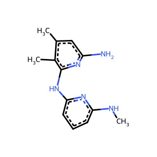 CNc1cccc(Nc2nc(N)cc(C)c2C)n1